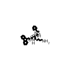 NCCCC[C@H](NC(=O)OCC1c2ccccc2-c2ccccc21)C(=O)Nc1nc(-c2ccccc2)cs1